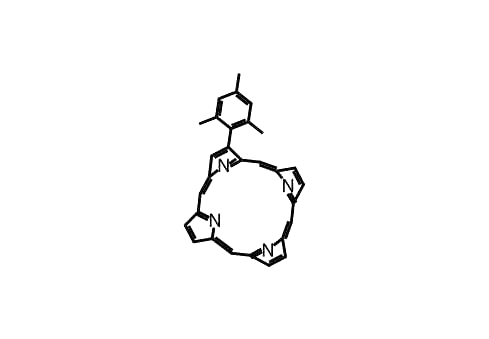 Cc1cc(C)c(C2=CC3=CC4=NC(=CC5=NC(=CC6=NC(=CC2=N3)C=C6)C=C5)C=C4)c(C)c1